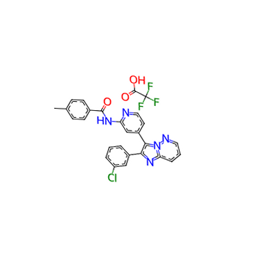 Cc1ccc(C(=O)Nc2cc(-c3c(-c4cccc(Cl)c4)nc4cccnn34)ccn2)cc1.O=C(O)C(F)(F)F